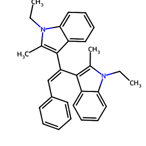 CCn1c(C)c(C(=Cc2ccccc2)c2c(C)n(CC)c3ccccc23)c2ccccc21